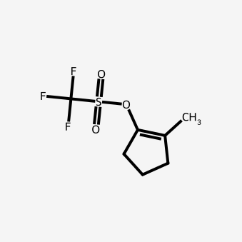 CC1=C(OS(=O)(=O)C(F)(F)F)CCC1